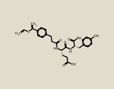 C=CSC(=C)c1ccc(CCC(=O)N[C@@H](CCC(=O)O)C(=O)N[C@@H](Cc2ccc(O)cc2)C(N)=O)cc1